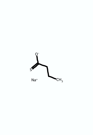 CCCC([O-])=S.[Na+]